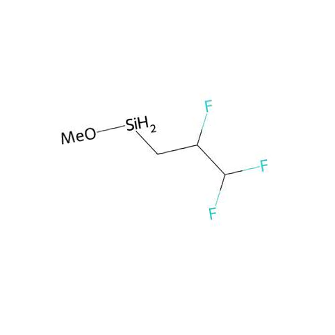 CO[SiH2]CC(F)C(F)F